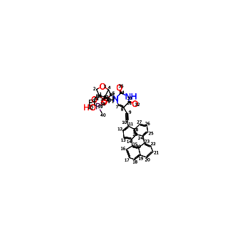 CC[C@]12COC([C@H](n3cc(C#Cc4ccc5c6cccc7cccc(c8cccc4c85)c76)c(=O)[nH]c3=O)O1)[C@@H]2OP(C)(=O)O